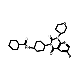 O=C(NC1CCC(n2c(=O)c3cc(F)cnc3n(C3CCSCC3)c2=O)CC1)C1CCCCC1